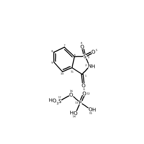 O=C1NS(=O)(=O)c2ccccc21.O=P(O)(O)OS(=O)(=O)O